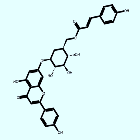 O=C(/C=C/c1ccc(O)cc1)OC[C@@H]1C[C@H](Oc2cc(O)c3c(=O)cc(-c4ccc(O)cc4)oc3c2)[C@@H](O)[C@H](O)[C@H]1O